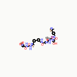 Cc1ncsc1-c1ccc(CNC(=O)[C@@H]2C[C@@H](O)CN2C(=O)[C@@H](NC(=O)CN2CC(C(=O)NCc3cccc(-c4cccc(-c5csc(NC(=O)CNC(=O)c6ccn(S(C)(=O)=O)c6)n5)c4)c3)C2)C(C)(C)C)cc1